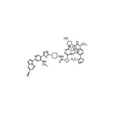 CNc1cc(-c2ccc3cc(C#N)cnn23)ncc1-c1nnc(C2CCC(NC(=O)[C@@H]3CC[C@@H]3C(=O)N[C@H](C(=O)N3C[C@H](O)C[C@H]3C(=O)N[C@@H](C)c3ccc(-c4scnc4C)cc3)C(C)(C)C)CC2)s1